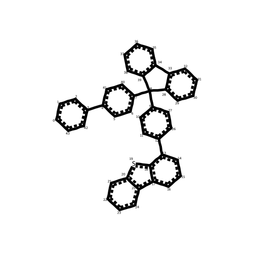 c1ccc(-c2ccc(C3(c4ccc(-c5cccc6c5sc5ccccc56)cc4)c4ccccc4-c4ccccc43)cc2)cc1